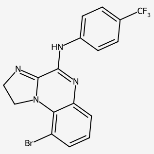 FC(F)(F)c1ccc(NC2=Nc3cccc(Br)c3N3CCN=C23)cc1